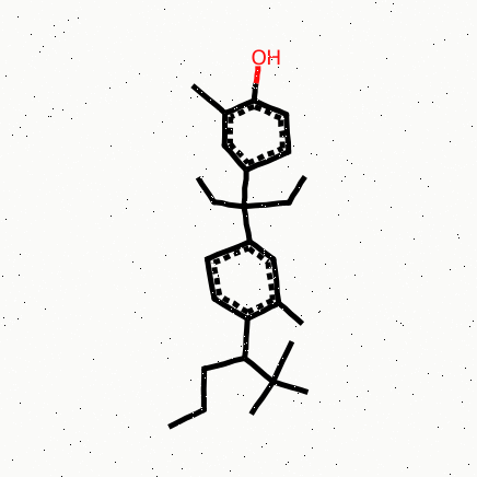 CCCC(c1ccc(C(CC)(CC)c2ccc(O)c(C)c2)cc1C)C(C)(C)C